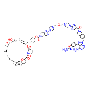 CO[C@H]1CC2CCCC(O2)C(=O)C(=O)N2CCCC[C@H]2C(=O)O[C@H](CC[C@H]2CC[C@H](OC(=O)N3CCc4nc(N5CCN(CCOCCN6CCN(c7ncc(C(=O)N8CCc9cc(Cn%10nc(-c%11ccc%12oc(N)nc%12c%11)c%11c(N)ncnc%11%10)ccc9C8)cn7)CC6)CC5)ncc4C3)CC2)CC[C@H](C)/C=C(\C)[C@@H](O)CC(=O)[C@H](C)C[C@H](C)/C=C/C=C/C=C/1C